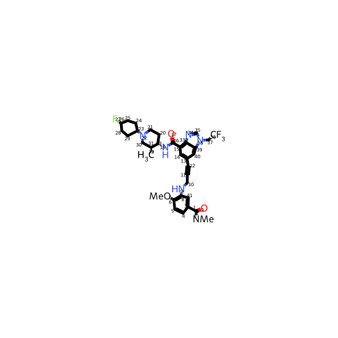 CNC(=O)c1ccc(OC)c(NCC#Cc2cc(C(=O)N[C@H]3CCN(C4CCC(F)CC4)C[C@@H]3C)c3ncn(CC(F)(F)F)c3c2)c1